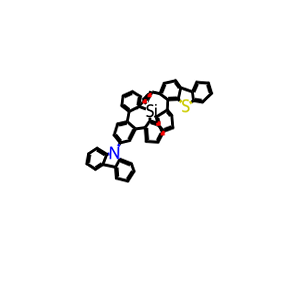 c1ccc2c(c1)-c1ccc(-n3c4ccccc4c4ccccc43)cc1-c1ccccc1[Si]21c2ccccc2-c2ccc3c(sc4ccccc43)c2-c2ccccc21